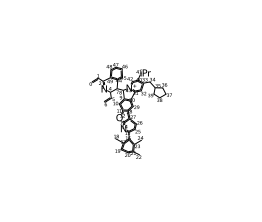 C=CC1=NC(C=C)C(C2c3cc4oc5nc(-c6c(C)ccc(C)c6C)ccc5c4cc3-c3cc(CC4CCCC4)c(C(C)C)c[n+]32)c2ccccc21